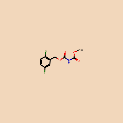 CC(C)(C)OC(=O)NC(=O)OCc1cc(F)ccc1Br